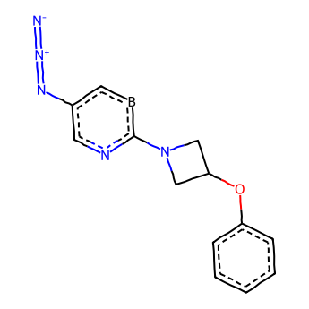 [N-]=[N+]=Nc1cbc(N2CC(Oc3ccccc3)C2)nc1